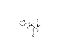 CCCN(C)c1ccc(Cl)nc1N(C)C(=O)Nc1ccccn1